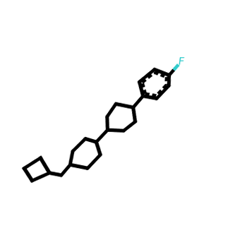 Fc1ccc(C2CCC(C3CCC(CC4CCC4)CC3)CC2)cc1